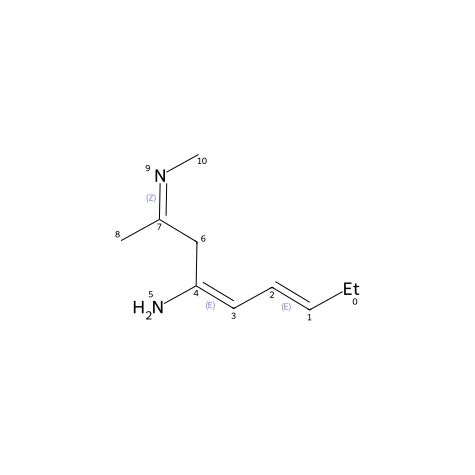 CC/C=C/C=C(/N)C/C(C)=N\C